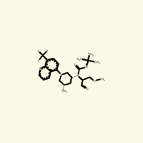 COCC(C=O)N(C(=O)OC(C)(C)C)[C@@H]1C[C@H](C)CN(c2ccc(C(F)(F)F)c3ncccc23)C1